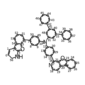 C1=Cc2c(oc3c(-c4ccc(N(c5ccc(-c6nccc7c6oc6ccccc67)cc5)c5cc(-c6ccccc6)cc(-c6ccccc6)c5)cc4)cccc23)NC1